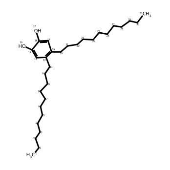 CCCCCCCCCCCCc1cc(O)c(O)cc1CCCCCCCCCCCC